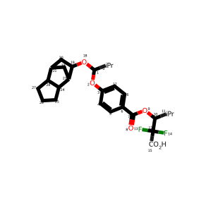 CC(C)C(Oc1ccc(C(=O)OC(C(C)C)C(F)(F)C(=O)O)cc1)OC1CC2CC1C1CCCC21